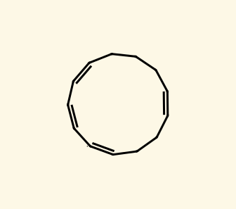 [C]1=CCCC=CCCCC=CC=C1